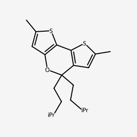 Cc1cc2c(s1)-c1sc(C)cc1C(CCC(C)C)(CCC(C)C)O2